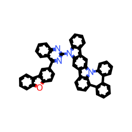 c1ccc2c(c1)-c1ccccc1-n1c3cc4c5ccccc5n(-c5nc(-c6ccc7oc8ccccc8c7c6)c6ccccc6n5)c4cc3c3cccc-2c31